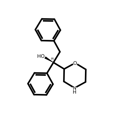 O[C@](Cc1ccccc1)(c1ccccc1)C1CNCCO1